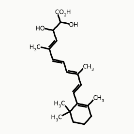 CC(C=CC1=C(C)CCCC1(C)C)=CC=CC(C)=CC(O)C(O)C(=O)O